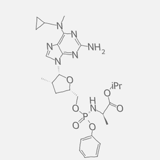 CC(C)OC(=O)[C@@H](C)N[P@](=O)(OC[C@@H]1C[C@H](C)[C@H](n2cnc3c(N(C)C4CC4)nc(N)nc32)O1)Oc1ccccc1